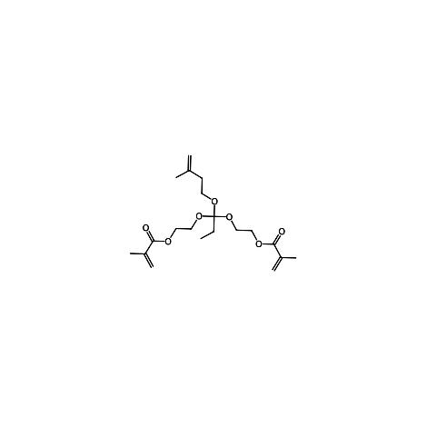 C=C(C)CCOC(CC)(OCCOC(=O)C(=C)C)OCCOC(=O)C(=C)C